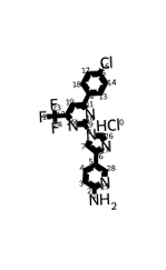 Cl.Nc1ccc(-c2cn(-c3nc(-c4ccc(Cl)cc4)cc(C(F)(F)F)n3)cn2)cn1